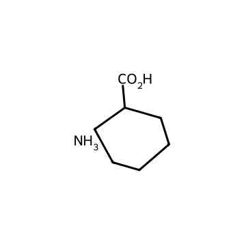 N.O=C(O)C1CCCCC1